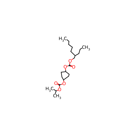 CCCCCC(CCC)COC(=O)OC1CCC(OC(=O)OC(C)C)CC1